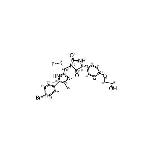 Cc1nc([C@H](CC(C)C)N2C(=O)N[C@H](c3ccc(OCCO)cc3)C2=O)[nH]c1-c1ccc(Br)cc1